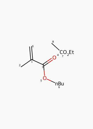 C=C(C)C(=O)OCCCC.CCOC(C)=O